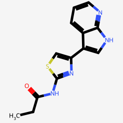 CCC(=O)Nc1nc(-c2c[nH]c3ncccc23)cs1